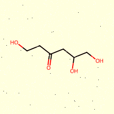 O=C(CCO)CC(O)CO